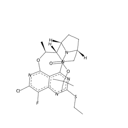 CCSc1nc2c3c(nc(Cl)c(F)c3n1)O[C@@H](C)[C@@H]1[C@@H]3CC[C@H](CN21)N3C(=O)OC(C)(C)C